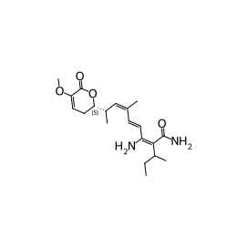 CCC(C)C(C(N)=O)=C(N)C=CC(C)=CC(C)[C@@H]1CC=C(OC)C(=O)O1